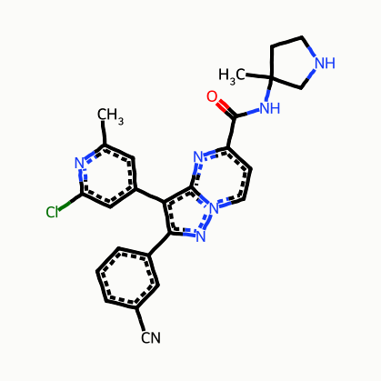 Cc1cc(-c2c(-c3cccc(C#N)c3)nn3ccc(C(=O)NC4(C)CCNC4)nc23)cc(Cl)n1